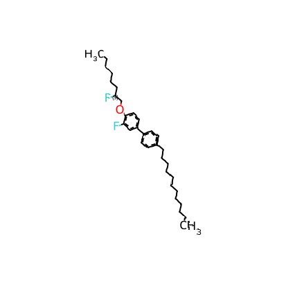 CCCCCCCCCCCCc1ccc(-c2ccc(OC[C@@H](F)CCCCCC)c(F)c2)cc1